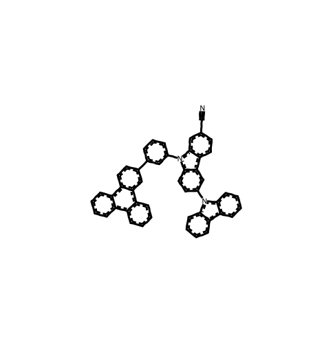 N#Cc1ccc2c3cc(-n4c5ccccc5c5ccccc54)ccc3n(-c3cccc(-c4ccc5c6ccccc6c6ccccc6c5c4)c3)c2c1